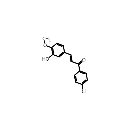 COc1ccc(C=CC(=O)c2ccc(Cl)cc2)cc1O